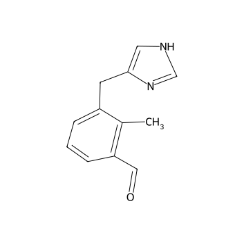 Cc1c(C=O)cccc1Cc1c[nH]cn1